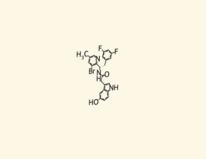 Cc1cnc([C@H](Cc2cc(F)cc(F)c2)NC(=O)Cc2c[nH]c3ccc(O)cc23)c(Br)c1